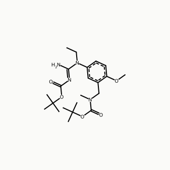 CCN(C(N)=NC(=O)OC(C)(C)C)c1ccc(OC)c(CN(C)C(=O)OC(C)(C)C)c1